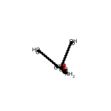 Nc1ccn([C@@H]2O[C@H](COC(=O)CCCCCCCCCCCCCCCCCC(=O)O)C(OC(=O)CCCCCCCCCCCCCCCCCC(=O)O)C2(F)F)c(=O)n1